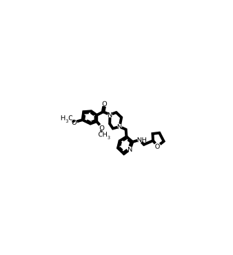 COc1ccc(C(=O)N2CCN(Cc3cccnc3NCC3CCCO3)CC2)c(OC)c1